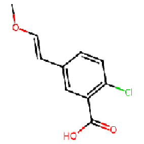 CO/C=C/c1ccc(Cl)c(C(=O)O)c1